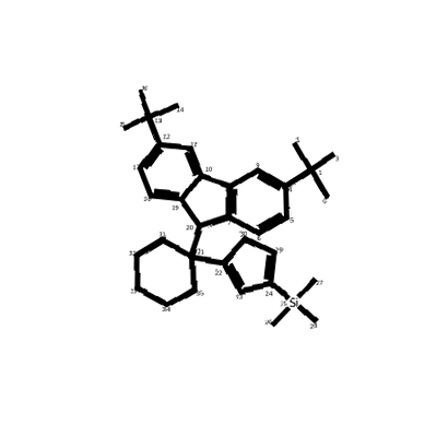 CC(C)(C)c1ccc2c(c1)-c1cc(C(C)(C)C)ccc1C2C1(C2=CC([Si](C)(C)C)=CC2)CCCCC1